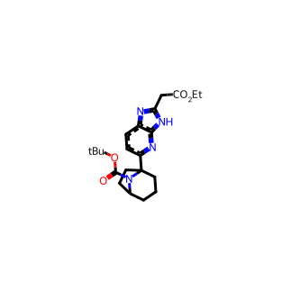 CCOC(=O)Cc1nc2ccc(C34CCCC(CC3)N4C(=O)OC(C)(C)C)nc2[nH]1